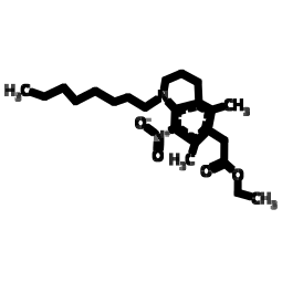 CCCCCCCCN1CCCc2c(C)c(CC(=O)OCC)c(C)c([N+](=O)[O-])c21